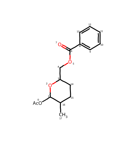 CC(=O)OC1OC(COC(=O)c2ccccc2)CCC1C